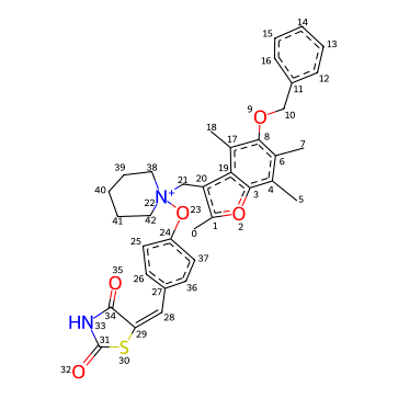 Cc1oc2c(C)c(C)c(OCc3ccccc3)c(C)c2c1C[N+]1(Oc2ccc(C=C3SC(=O)NC3=O)cc2)CCCCC1